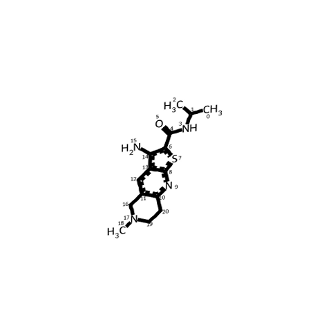 CC(C)NC(=O)c1sc2nc3c(cc2c1N)CN(C)CC3